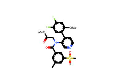 COC(=O)CN(C(=O)c1cc(C)cc(S(C)(=O)=O)c1)c1cnccc1-c1cc(F)c(F)cc1OC